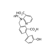 CCCN(Cc1ccc(-c2cccc(O)c2)c(C(=O)O)c1)c1ncccc1C(=O)O